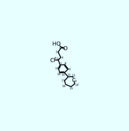 O=C(O)CCC(Cl)c1ccc(C2CCCCCC2)cc1